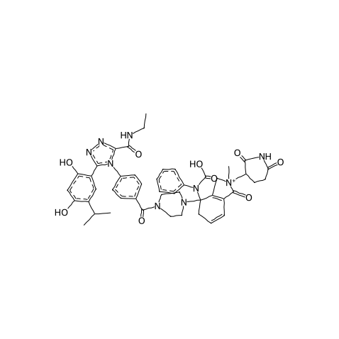 CCNC(=O)c1nnc(-c2cc(C(C)C)c(O)cc2O)n1-c1ccc(C(=O)N2CCN(C3(N(C(=O)O)c4ccccc4)CC=CC4=C3C[N+](C)(C3CCC(=O)NC3=O)C4=O)CC2)cc1